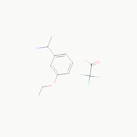 CC(N)c1cccc(OCC(F)(F)F)c1.O=C(O)C(F)(F)F